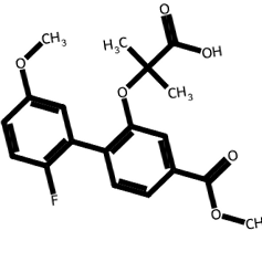 COC(=O)c1ccc(-c2cc(OC)ccc2F)c(OC(C)(C)C(=O)O)c1